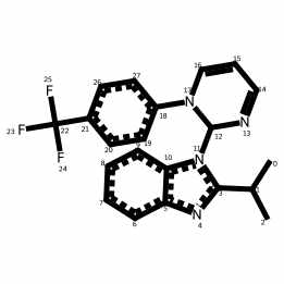 CC(C)c1nc2ccccc2n1C1N=CC=CN1c1ccc(C(F)(F)F)cc1